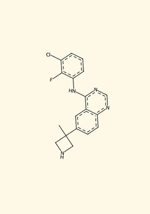 CC1(c2ccc3ncnc(Nc4cccc(Cl)c4F)c3c2)CNC1